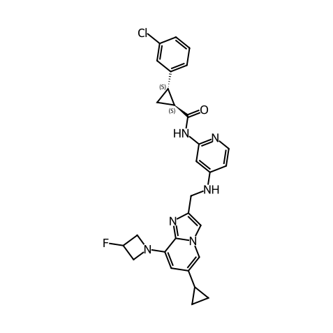 O=C(Nc1cc(NCc2cn3cc(C4CC4)cc(N4CC(F)C4)c3n2)ccn1)[C@H]1C[C@@H]1c1cccc(Cl)c1